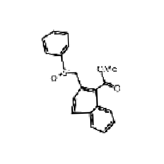 COC(=O)c1c(C[S+]([O-])c2ccccc2)ccc2ccccc12